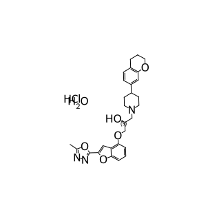 Cc1nnc(-c2cc3c(OC[C@@H](O)CN4CCC(c5ccc6c(c5)OCCC6)CC4)cccc3o2)o1.Cl.O